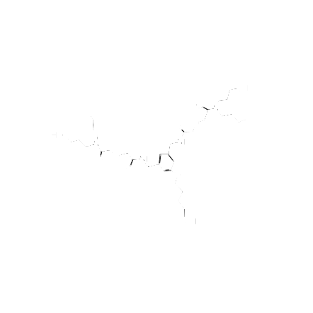 CCCCCCOc1cc(CNC(=O)COCC(=O)N(CCCC)CCCC)cc(CNC(=O)COCC(=O)N(CCCC)CCCC)c1